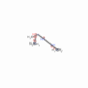 CCCCCC(OC(=O)CCCC(=O)OCC[N+](C)(C)C)C(O)C/C=C\CCCCCCCC(=O)NCCCCCCCCCCCCNC(=O)CCCC(=O)CCC[N+](C)(C)C